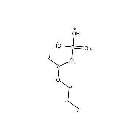 CCCOC(C)OP(=O)(O)O